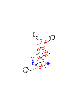 CC(=N)[C@@H]1OC(COCc2ccccc2)[C@H](N=[N+]=[N-])C(C)C1O[C@@H]1OC(C)[C@H](O[C@@H]2OC[C@@H](OCc3ccccc3)C(OCc3ccccc3)C2C)C2OC(C)(C)OC21